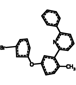 Cc1ccc(Oc2cccc(Br)c2)cc1-c1cccc(-c2ccccc2)n1